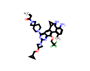 C=CC(=O)N1CC2(CCN(c3nc(N4CC(OCC5CC5)C4)nc4c(OCC(F)(F)F)c(-c5c(C)ccc(N)c5C=N)c(C5CC5)cc34)CC2)C1